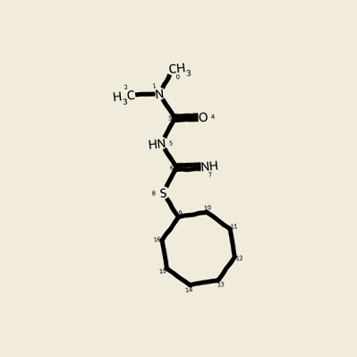 CN(C)C(=O)NC(=N)SC1CCCCCCC1